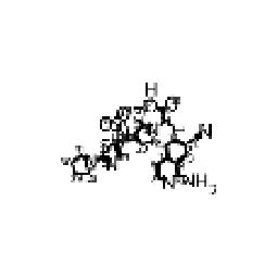 N#Cc1cc2c(N)nccc2cc1C[C@H](C(=O)O)N1CC[C@H](N(c2cnc(N3CCCC3)s2)[SH](=O)=O)C1=O